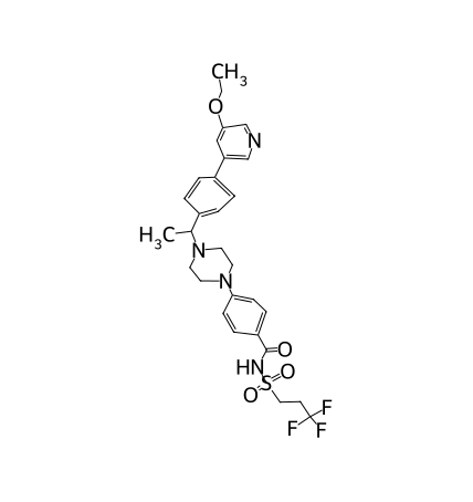 CCOc1cncc(-c2ccc(C(C)N3CCN(c4ccc(C(=O)NS(=O)(=O)CCC(F)(F)F)cc4)CC3)cc2)c1